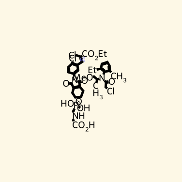 CCOC(=O)/C(Cl)=C/c1cc(N2C(=O)C3=C(CCCC3)C2=O)ccc1Cl.CCc1cccc(C)c1N(C(=O)CCl)C(C)COC.O=C(O)CNCP(=O)(O)O